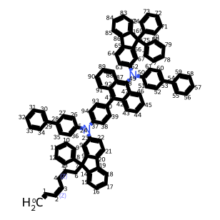 C=C/C=C\C=C/CC1(c2ccccc2)c2ccccc2-c2ccc(N(c3ccc(-c4ccccc4)cc3)c3ccc(-c4c5ccccc5c(N(c5ccc(-c6ccccc6)cc5)c5ccc6c(c5)C(c5ccccc5)(c5ccccc5)c5ccccc5-6)c5ccccc45)cc3)cc21